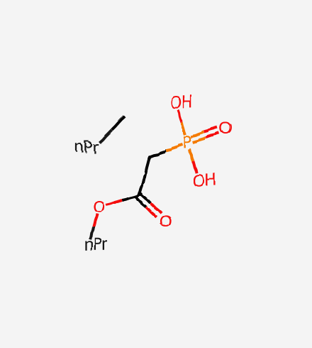 CCCC.CCCOC(=O)CP(=O)(O)O